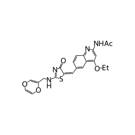 CCOc1cc(NC(C)=O)nc2ccc(C=C3SC(NCC4=COC=CO4)=NC3=O)cc12